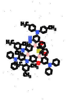 Cc1ccc(N(c2ccc(C)cc2)c2cc3c4c(c2)Oc2c(sc5ccccc25)B4c2cc4c(cc2N3)N(c2c(C)cc(C)cc2C)c2cc(N(c3ccccc3)c3ccccc3)cc3c2B4c2cc4c(cc2N3c2c(C)cc(C)cc2C)Oc2cc(N(c3ccccc3)c3ccccc3)cc3c2B4c2sc4ccccc4c2O3)cc1